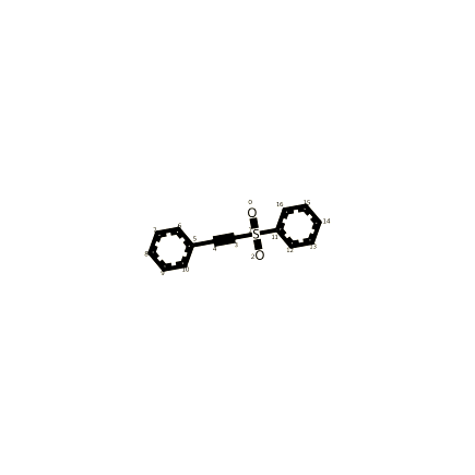 O=S(=O)(C#Cc1ccccc1)c1ccccc1